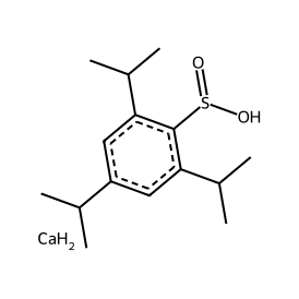 CC(C)c1cc(C(C)C)c(S(=O)O)c(C(C)C)c1.[CaH2]